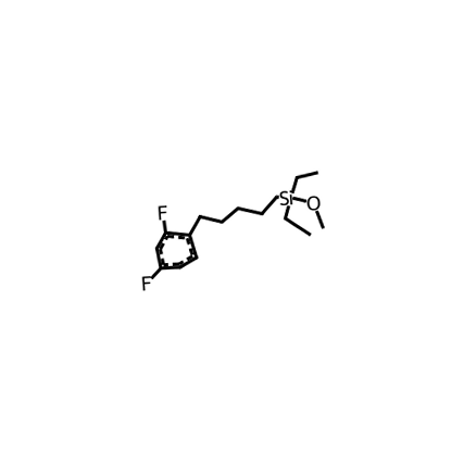 CC[Si](CC)(CCCCCc1ccc(F)cc1F)OC